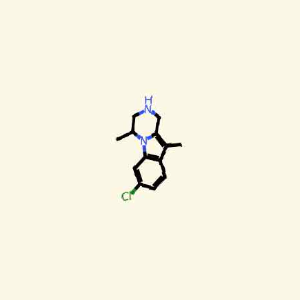 Cc1c2n(c3cc(Cl)ccc13)C(C)CNC2